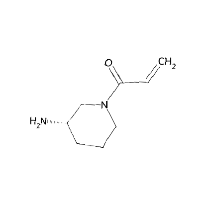 C=CC(=O)N1CCC[C@H](N)C1